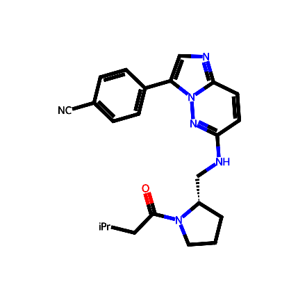 CC(C)CC(=O)N1CCC[C@H]1CNc1ccc2ncc(-c3ccc(C#N)cc3)n2n1